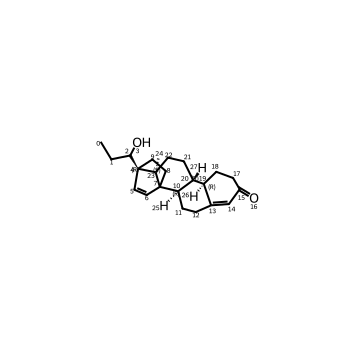 CCC(O)[C@@]12C=CC3(CC1)[C@@H]1CCC4=CC(=O)CC[C@@H]4[C@H]1CC[C@@]32C